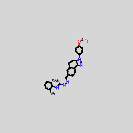 CSC(/N=N\C=c1/ccc2c(c1)C=CC1C=2N=CN1c1ccc(OC(F)(F)F)cc1)=N\c1ccccc1C(C)C